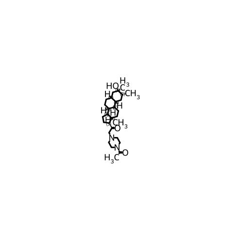 CC(=O)N1CCN(CC(=O)[C@H]2CC[C@H]3[C@@H]4CC[C@@H]5C[C@](C)(O)[C@H](C)C[C@@H]5[C@H]4CC[C@]23C)CC1